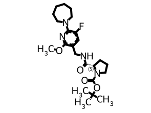 COc1nc(N2CCCCCC2)c(F)cc1CNC(=O)[C@@H]1CCCN1C(=O)OC(C)(C)C